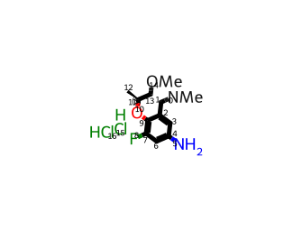 CNCc1cc(N)cc(F)c1O[C@@H](C)COC.Cl.Cl